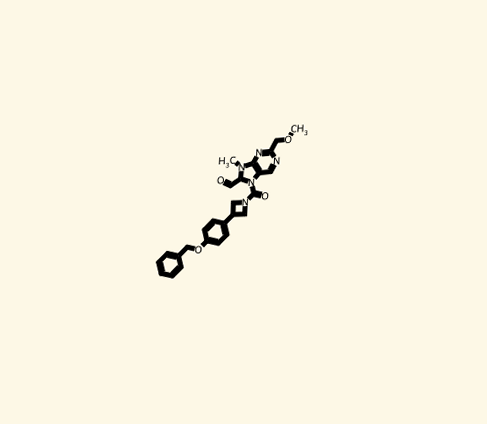 COCc1ncc2c(n1)N(C)C(C=O)N2C(=O)N1CC(c2ccc(OCc3ccccc3)cc2)C1